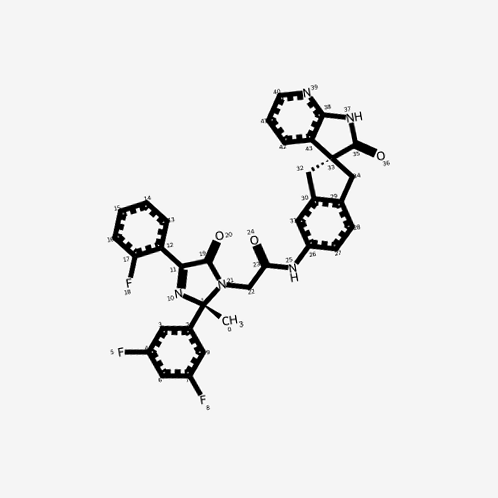 C[C@@]1(c2cc(F)cc(F)c2)N=C(c2ccccc2F)C(=O)N1CC(=O)Nc1ccc2c(c1)C[C@@]1(C2)C(=O)Nc2ncccc21